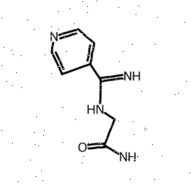 [NH]C(=O)CNC(=N)c1ccncc1